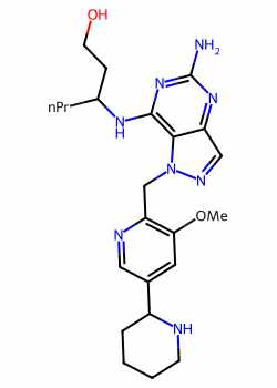 CCCC(CCO)Nc1nc(N)nc2cnn(Cc3ncc(C4CCCCN4)cc3OC)c12